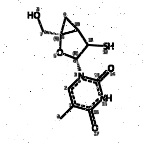 Cc1cn([C@@H]2O[C@@]3(CO)CC3C2S)c(=O)[nH]c1=O